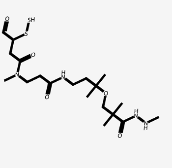 CNNC(=O)C(C)(C)COC(C)(C)CCNC(=O)CCN(C)C(=O)CC(C=O)SS